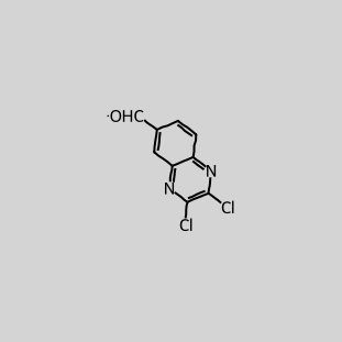 O=[C]c1ccc2nc(Cl)c(Cl)nc2c1